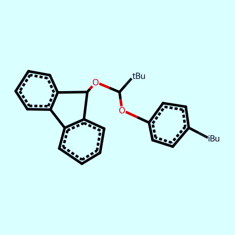 CCC(C)c1ccc(OC(OC2c3ccccc3-c3ccccc32)C(C)(C)C)cc1